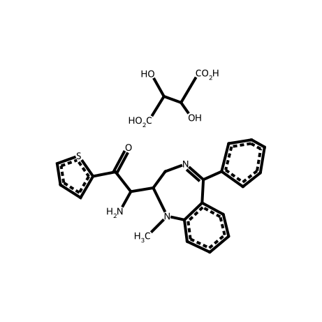 CN1c2ccccc2C(c2ccccc2)=NCC1C(N)C(=O)c1cccs1.O=C(O)C(O)C(O)C(=O)O